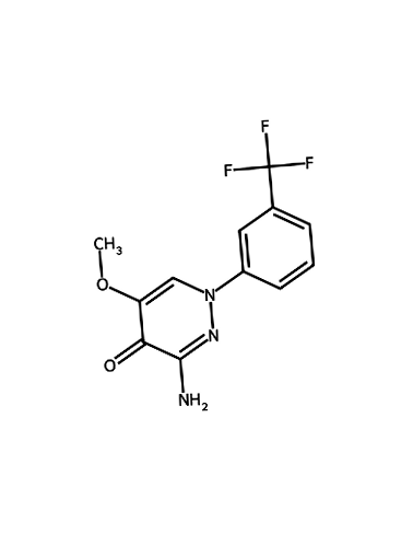 COc1cn(-c2cccc(C(F)(F)F)c2)nc(N)c1=O